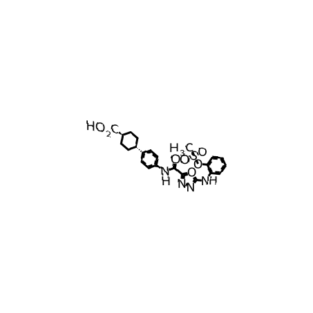 CS(=O)(=O)Oc1ccccc1Nc1nnc(C(=O)Nc2ccc([C@H]3CC[C@H](C(=O)O)CC3)cc2)o1